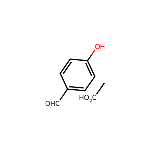 CC(=O)O.O=Cc1ccc(O)cc1